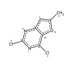 Cc1cc2nc(Cl)nc(Cl)c2o1